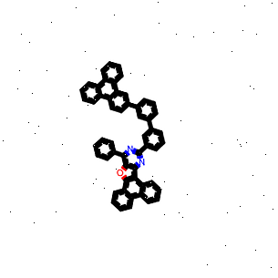 c1ccc(-c2nc(-c3cccc(-c4cccc(-c5ccc6c7ccccc7c7ccccc7c6c5)c4)c3)nc3c2oc2c4ccccc4c4ccccc4c32)cc1